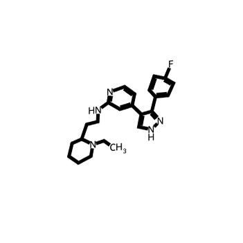 CCN1CCCCC1CCNc1cc(-c2c[nH]nc2-c2ccc(F)cc2)ccn1